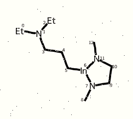 CCN(CC)CC[CH2][In]1[N](C)CC[N]1C